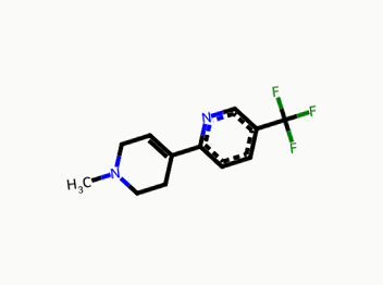 CN1CC=C(c2ccc(C(F)(F)F)cn2)CC1